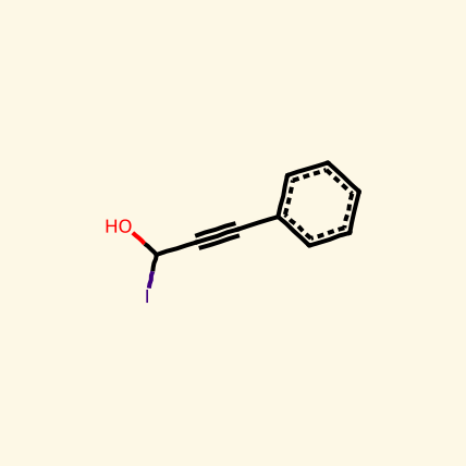 OC(I)C#Cc1ccccc1